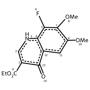 CCOC(=O)c1c[nH]c2c(F)c(OC)c(OC)cc2c1=O